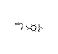 CC(C)(C)C[C@H](F)COc1ccc(S(C)(=O)=O)cc1